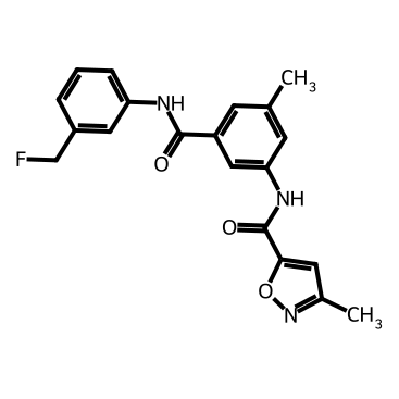 Cc1cc(NC(=O)c2cc(C)no2)cc(C(=O)Nc2cccc(CF)c2)c1